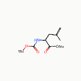 C=C(C)CC(NC(=O)OC(C)(C)C)C(=O)OC